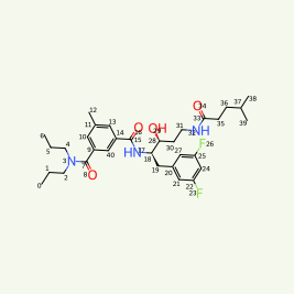 CCCN(CCC)C(=O)c1cc(C)cc(C(=O)N[C@H](Cc2cc(F)cc(F)c2)[C@@H](O)CCNC(=O)CCC(C)C)c1